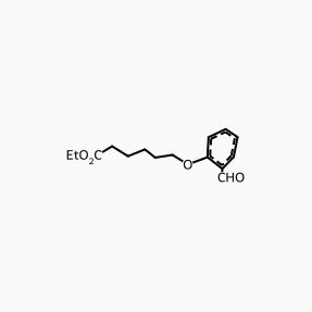 CCOC(=O)CCCCCOc1ccccc1C=O